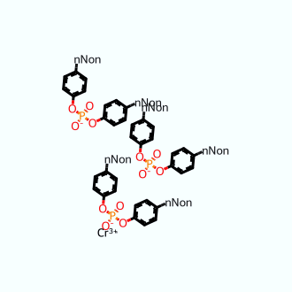 CCCCCCCCCc1ccc(OP(=O)([O-])Oc2ccc(CCCCCCCCC)cc2)cc1.CCCCCCCCCc1ccc(OP(=O)([O-])Oc2ccc(CCCCCCCCC)cc2)cc1.CCCCCCCCCc1ccc(OP(=O)([O-])Oc2ccc(CCCCCCCCC)cc2)cc1.[Cr+3]